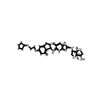 O[C@@H]1CO[C@H]2[C@@H]1OC[C@H]2Oc1nc2nc(NC3CCc4cc(OCCOC5CCCC5)cc(F)c43)c(Cl)cc2[nH]1